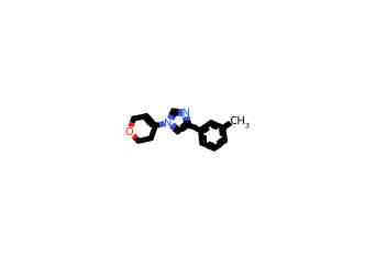 Cc1cccc(-c2cn(C3=CCOCC3)cn2)c1